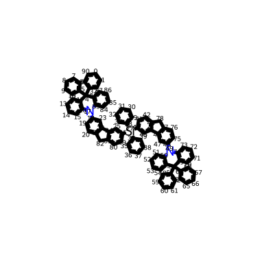 c1ccc(C2(c3ccccc3)c3ccccc3N(c3ccc4c(c3)-c3cc([Si](c5ccccc5)(c5ccccc5)c5ccc6c(c5)-c5cc(N7c8ccccc8C(c8ccccc8)(c8ccccc8)c8ccccc87)ccc5C6)ccc3C4)c3ccccc32)cc1